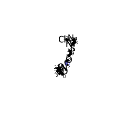 CC1(C)ON(/C=C/OCCCSc2ccnc(Cl)n2)OC1(C)C